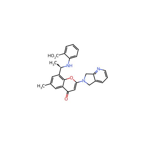 Cc1cc([C@@H](C)Nc2ccccc2C(=O)O)c2oc(N3Cc4cccnc4C3)cc(=O)c2c1